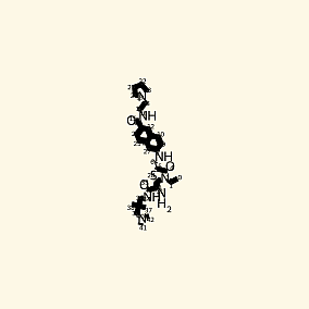 CCN1C(=O)[C@@H](CNc2ccc3cc(C(=O)NCCN4CCCC4)ccc3c2)S/C1=C(/N)C(=O)NCC(C)(C)CN(C)C